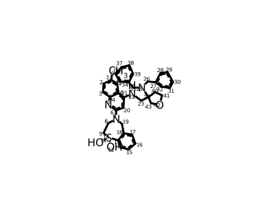 Cc1ccc2nc(N3CCS(O)(O)c4ccccc4C3)cc(NCC3(N(Cc4ccccc4)Cc4ccccc4)CCOC3)c2c1